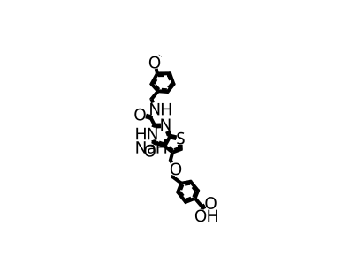 COc1cccc(CNC(=O)c2nc3scc(COCc4ccc(C(=O)O)cc4)c3c(=O)[nH]2)c1.[NaH]